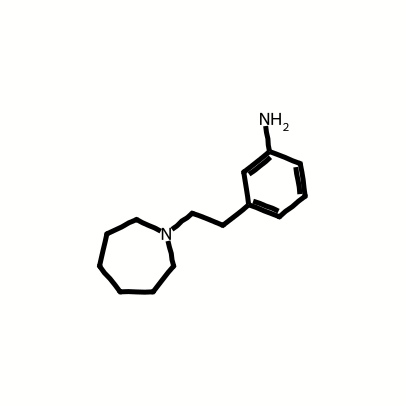 Nc1cccc(CCN2CCCCCC2)c1